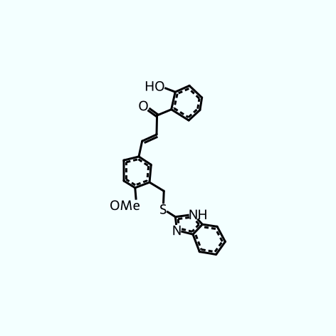 COc1ccc(C=CC(=O)c2ccccc2O)cc1CSc1nc2ccccc2[nH]1